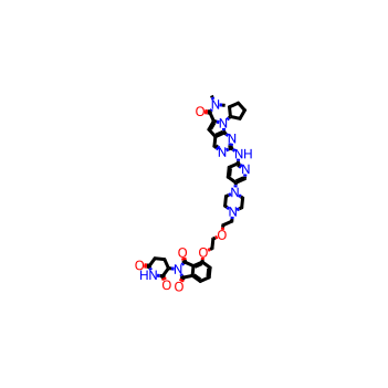 CN(C)C(=O)c1cc2cnc(Nc3ccc(N4CCN(CCOCCOc5cccc6c5C(=O)N(C5CCC(=O)NC5=O)C6=O)CC4)cn3)nc2n1C1CCCC1